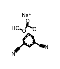 N#Cc1cccc(C#N)c1.O=C([O-])OO.[Na+]